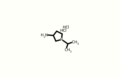 CC(C)N1CCC(N)C1.Cl.Cl